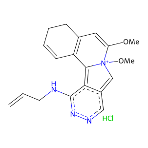 C=CCNc1nncc2c1=C1C3=C(C=C(OC)[N+]1(OC)C=2)CCC=C3.Cl